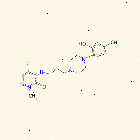 Cc1ccc(N2CCN(CCCNc3c(Cl)cnn(C)c3=O)CC2)c(O)c1